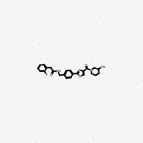 O=C(Cc1ccccc1F)NCc1ccc(-c2nc(C(=O)N3CCCC(O)C3)co2)cc1